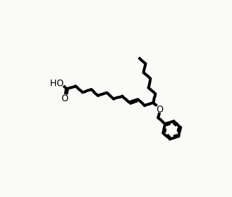 CCCCCCC(C/C=C/CCCCCCCC(=O)O)OCc1ccccc1